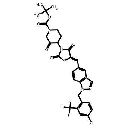 CC(C)(C)OC(=O)N1CCC(N2C(=O)S/C(=C\c3ccc4c(cnn4Cc4ccc(Cl)cc4C(F)(F)F)c3)C2=O)C(=O)C1